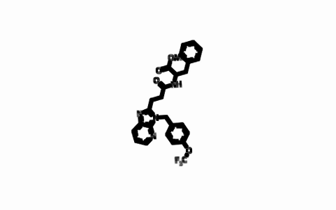 COC(=O)C(Cc1ccccc1)NC(=O)CCc1nc2cccnc2n1Cc1ccc(OC(F)(F)F)cc1